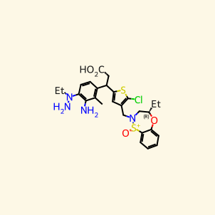 CC[C@@H]1CN(Cc2cc(C(CC(=O)O)c3ccc(N(N)CC)c(N)c3C)sc2Cl)[S+]([O-])c2ccccc2O1